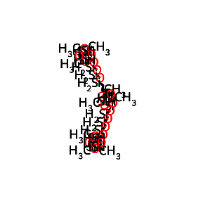 C[SiH]1O[SiH](C)O[SiH](O[SiH2]O[SiH2]O[SiH2]CC[Si]2(C)O[SiH](C)O[SiH](O[SiH2]O[SiH2]O[SiH2]O[SiH]3O[SiH](C)O[SiH](C)O[SiH](C)O3)O[SiH](C)O2)O[SiH](C)O1